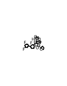 CS(=O)(=O)N[C@H]1C2CC(C2)N(C(=O)[C@H]2CCCO2)[C@H]1Cc1cccc(-c2cc(F)cc(F)c2)c1F